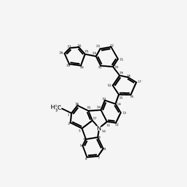 Cc1cc2c3ccccc3n3c4ccc(-c5cccc(-c6cccc(-c7ccccc7)c6)c5)cc4c(c1)c23